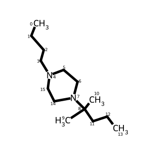 CCCCN1CCN(C(C)(C)CCC)CC1